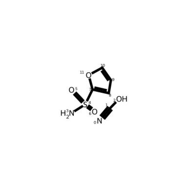 N#CO.NS(=O)(=O)c1ccco1